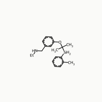 CCNCc1cccc(OC(C)(C)[SiH2]c2ccccc2C)c1